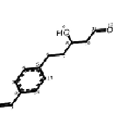 C=Cc1ccc(CC[C@@H](O)C[C]=O)cc1